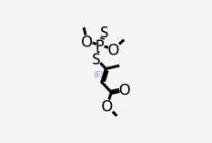 COC(=O)/C=C(\C)SP(=S)(OC)OC